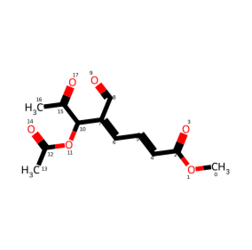 COC(=O)C=CC=C(C=O)C(OC(C)=O)C(C)=O